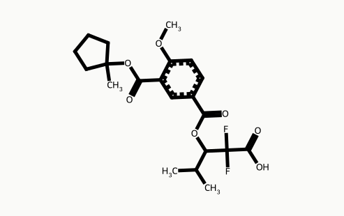 COc1ccc(C(=O)OC(C(C)C)C(F)(F)C(=O)O)cc1C(=O)OC1(C)CCCC1